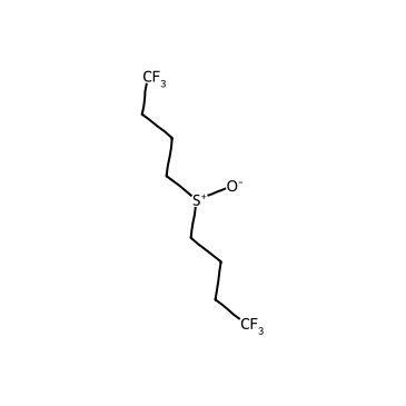 [O-][S+](CCCC(F)(F)F)CCCC(F)(F)F